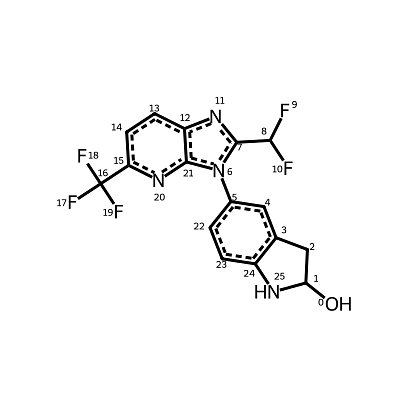 OC1Cc2cc(-n3c(C(F)F)nc4ccc(C(F)(F)F)nc43)ccc2N1